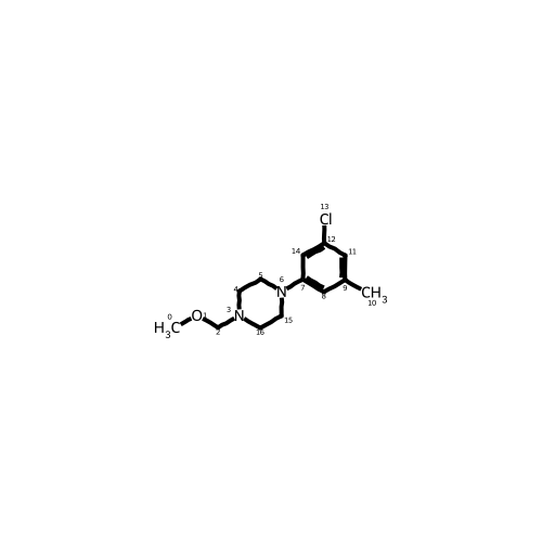 COCN1CCN(c2cc(C)cc(Cl)c2)CC1